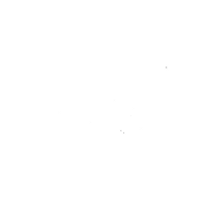 O=C(c1cccc(F)c1F)N(F)C(F)(F)[SiH2]OCO